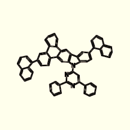 c1ccc(-c2cc(-n3c4ccc(-c5cccc6ccccc56)cc4c4cc5c6ccccc6c6cc(-c7cccc8ccccc78)ccc6c5cc43)nc(-c3ccccc3)n2)cc1